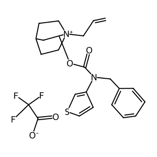 C=CC[N+]12CCC(CC1)CC2OC(=O)N(Cc1ccccc1)c1ccsc1.O=C([O-])C(F)(F)F